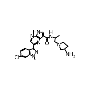 CC(CN1CCC(N)C1)NC(=O)c1c[nH]c2ncc(-c3nn(C)c4cc(Cl)ccc34)nc12